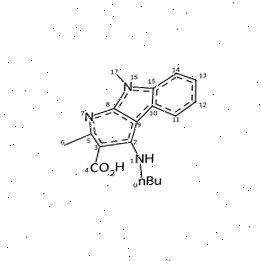 CCCCNc1c(C(=O)O)c(C)nc2c1c1ccccc1n2C